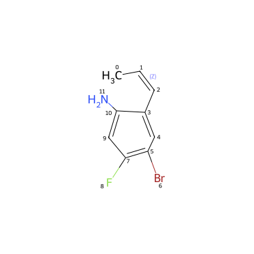 C/C=C\c1cc(Br)c(F)cc1N